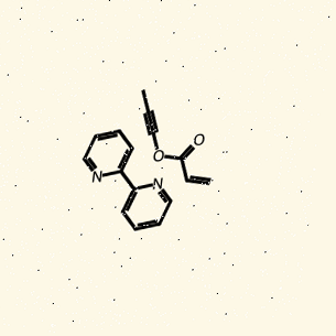 C=CC(=O)OC#CC.c1ccc(-c2ccccn2)nc1